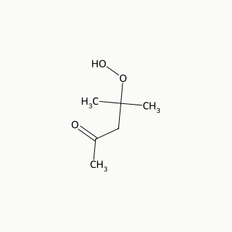 CC(=O)CC(C)(C)OO